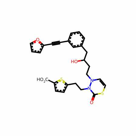 O=C(O)c1ccc(CCN2C(=O)SC=CN2CCC(O)Cc2cccc(C#Cc3ccco3)c2)s1